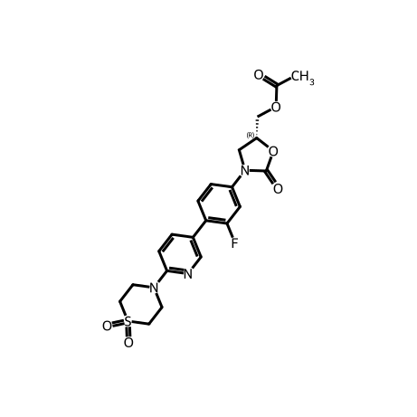 CC(=O)OC[C@H]1CN(c2ccc(-c3ccc(N4CCS(=O)(=O)CC4)nc3)c(F)c2)C(=O)O1